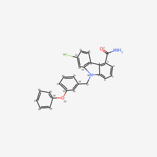 NC(=O)c1cccc2c1c1[c]cc(F)cc1n2Cc1cccc(Oc2ccccc2)c1